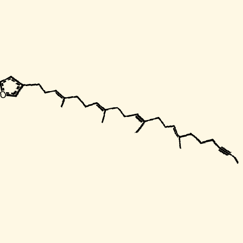 CC#CCCC/C(C)=C/CC/C(C)=C/CC/C(C)=C/CC/C(C)=C/CCc1ccoc1